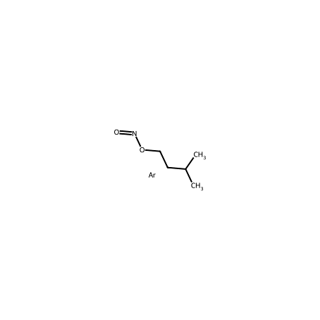 CC(C)CCON=O.[Ar]